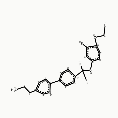 CCCc1ccc(-c2ccc(C(F)(F)Oc3ccc(OCF)c(F)c3)cc2)nc1